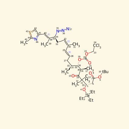 CC[Si](CC)(CC)O[C@@H](CC(=O)OC(C)(C)C)C(C)(C)C(=O)[C@H](C)[C@@H](OC(=O)OCC(Cl)(Cl)Cl)[C@@H](C)C/C=C/C(C)=C\C[C@H](N=[N+]=[N-])/C(C)=C/c1csc(C)n1